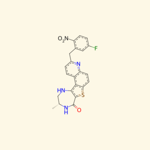 C[C@@H]1CNc2c(sc3ccc4nc(Cc5cc(F)ccc5[N+](=O)[O-])ccc4c23)C(=O)N1